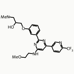 CNCC(O)COc1cccc(-c2nc(NCCOC)cc(-c3ccc(C(F)(F)F)nc3)n2)c1